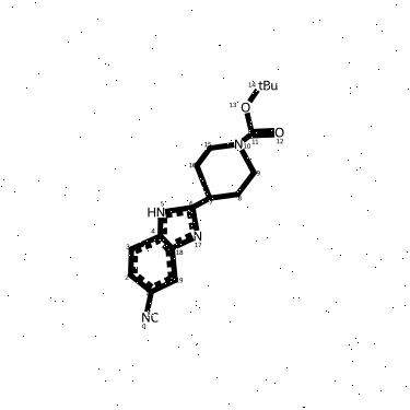 [C-]#[N+]c1ccc2[nH]c(C3CCN(C(=O)OC(C)(C)C)CC3)nc2c1